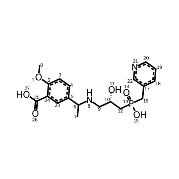 COc1ccc(C(C)NC[C@H](O)CP(=O)(O)Cc2cccnc2)cc1C(=O)O